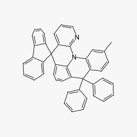 Cc1ccc2c(c1)N1c3ncccc3C3(c4ccccc4-c4ccccc43)c3cccc(c31)C2(c1ccccc1)c1ccccc1